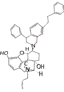 C=CCN1CC[C@]23c4c5ccc(O)c4O[C@H]2[C@@H](N(CCCCCCc2ccccc2)CC(c2ccccc2)c2ccccc2)CC[C@@]3(O)[C@H]1C5